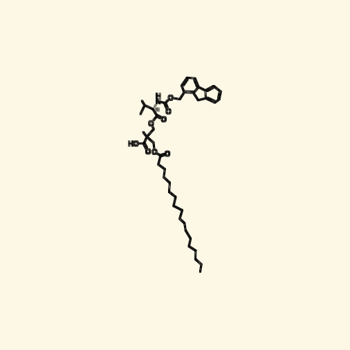 CCCCCCCCCCCCCCCCCC(=O)OCC(C)(COC(=O)[C@@H](NC(=O)OCc1cccc2c1Cc1ccccc1-2)C(C)C)C(=O)O